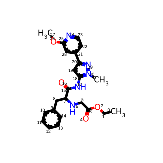 CCOC(=O)CNC(Cc1ccccc1)C(=O)Nc1cc(-c2ccnc(OC)c2)nn1C